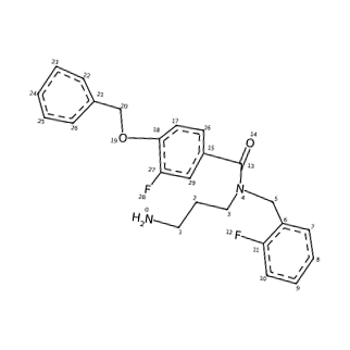 NCCCN(Cc1ccccc1F)C(=O)c1ccc(OCc2ccccc2)c(F)c1